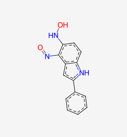 O=Nc1c(NO)ccc2[nH]c(-c3ccccc3)cc12